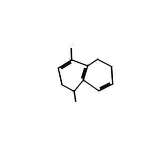 CC1CC=C(O)C2=C1C=CCC2